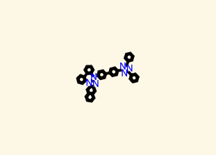 c1ccc(-c2nc(-c3ccccc3)nc(-c3ccc(-c4ccc(N5c6ccccc6-c6ccccc6-n6c5nc5cc7ccccc7cc56)cc4)cc3)n2)cc1